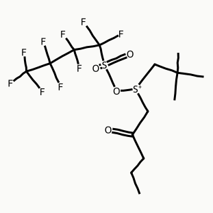 CCCC(=O)C[S+](CC(C)(C)C)OS(=O)(=O)C(F)(F)C(F)(F)C(F)(F)C(F)(F)F